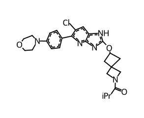 CC(C)C(=O)N1CC2(CC(Oc3nc4nc(-c5ccc(N6CCOCC6)cc5)c(Cl)cc4[nH]3)C2)C1